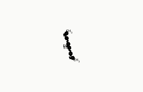 CCC1(CC)c2cc(/C=C/c3ccc(N4CCc5cc(C)ccc54)cc3)ccc2-c2ccc(/C=C/c3ccc(N4CCc5cc(C)ccc54)cc3)cc21